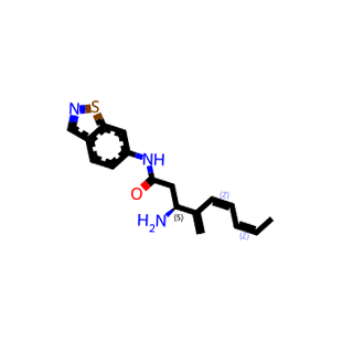 C=C(/C=C\C=C/C)[C@@H](N)CC(=O)Nc1ccc2cnsc2c1